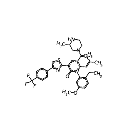 CCc1ccc(OC)cc1-n1c(C=C(C)C)c(C(=O)N2CCN[C@@H](C)C2)cc(-c2nc(-c3ccc(C(F)(F)F)cc3)cs2)c1=O